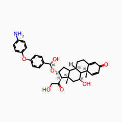 C[C@]12C=CC(=O)C=C1CC[C@@H]1C2[C@@H](O)C[C@@]2(C)C1C[C@@H](O[C@H](O)c1ccc(Oc3ccc(N)cc3)cc1)[C@@H]2C(=O)CO